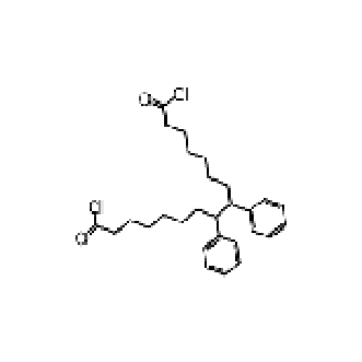 O=C(Cl)CCCCCCC(c1ccccc1)C(CCCCCCC(=O)Cl)c1ccccc1